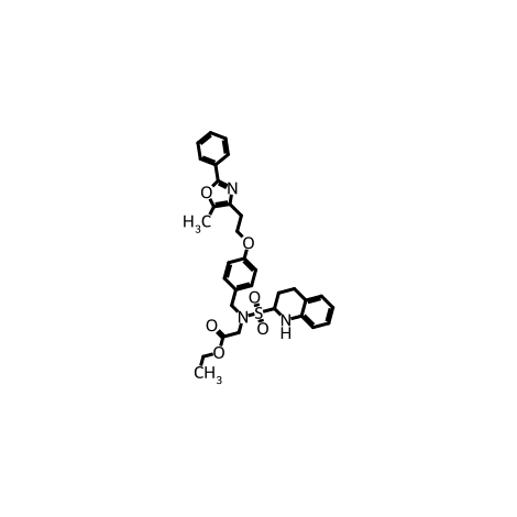 CCOC(=O)CN(Cc1ccc(OCCc2nc(-c3ccccc3)oc2C)cc1)S(=O)(=O)C1CCc2ccccc2N1